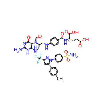 Cc1ccc(-c2cc(C(F)(F)F)nn2-c2ccc(S(N)(=O)=O)cc2)cc1.Nc1nc(=O)c2c([nH]1)NCC(CNc1ccc(C(=O)N[C@@H](CCC(=O)O)C(=O)O)cc1)N2C=O